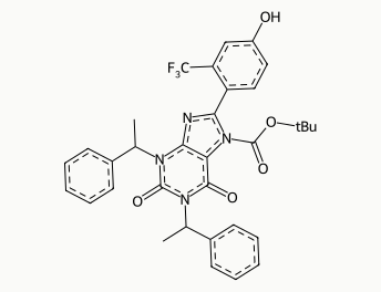 CC(c1ccccc1)n1c(=O)c2c(nc(-c3ccc(O)cc3C(F)(F)F)n2C(=O)OC(C)(C)C)n(C(C)c2ccccc2)c1=O